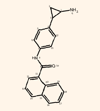 NC1CC1c1ccc(NC(=O)c2cccc3ccccc23)cc1